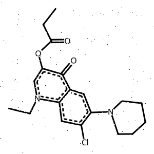 CCC(=O)Oc1cn(CC)c2cc(Cl)c(N3CCCCC3)cc2c1=O